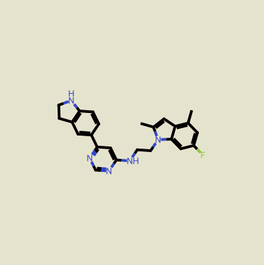 Cc1cc(F)cc2c1cc(C)n2CCNc1cc(-c2ccc3c(c2)CCN3)ncn1